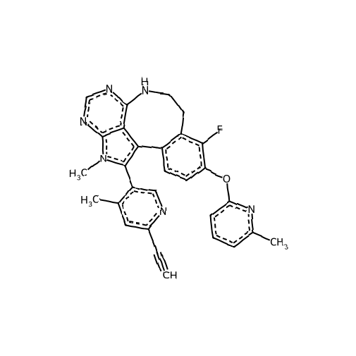 C#Cc1cc(C)c(-c2c3c4c(ncnc4n2C)NCCc2c-3ccc(Oc3cccc(C)n3)c2F)cn1